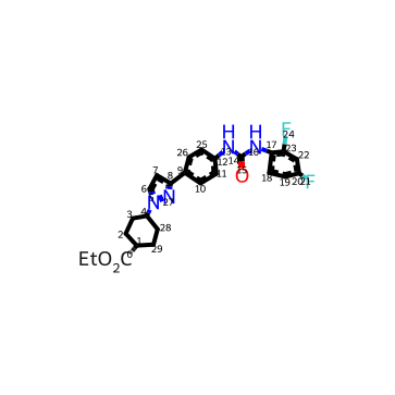 CCOC(=O)C1CCC(n2ccc(-c3ccc(NC(=O)Nc4ccc(F)cc4F)cc3)n2)CC1